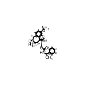 COc1ccc2c3c1O[C@H]1C[C@@H](OC(=O)N[C@@H](C)c4ccccc4)C(C)[C@@]31CCN(C)C2